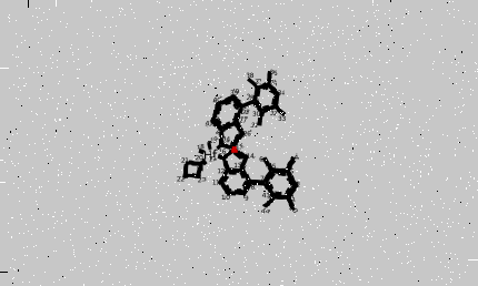 Cc1cc(C)c(C)c(-c2cccc3c2C=C[CH]3[Hf]([CH3])([CH3])(=[C]2CCC2)[CH]2C=Cc3c(-c4c(C)c(C)cc(C)c4C)cccc32)c1C